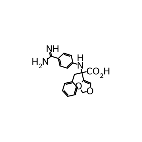 N=C(N)c1ccc(NC(Cc2ccccc2)(C(=O)O)C2=COCO2)cc1